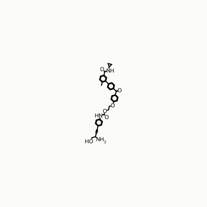 Cc1ccc(C(=O)NC2CC2)cc1-c1ccc(C(=O)c2ccc(OCCOC(=O)Nc3ccc(C#CC(N)CO)cc3)cc2)cc1